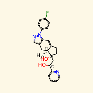 C[C@]12Cc3cnn(-c4ccc(F)cc4)c3C=C1CC[C@@]2(O)C[C@H](O)c1ccccn1